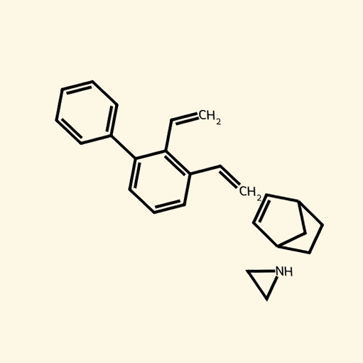 C1=CC2CCC1C2.C1CN1.C=Cc1cccc(-c2ccccc2)c1C=C